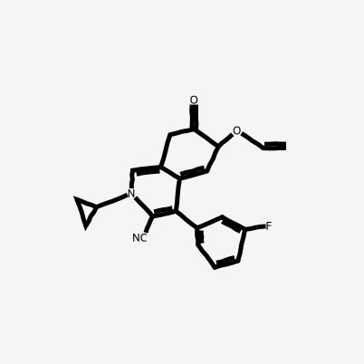 C=COC1C=C2C(=CN(C3CC3)C(C#N)=C2c2cccc(F)c2)CC1=O